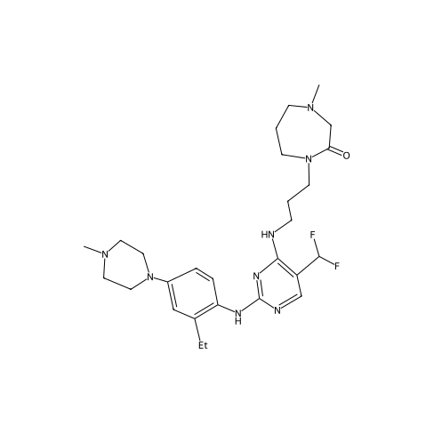 CCc1cc(N2CCN(C)CC2)ccc1Nc1ncc(C(F)F)c(NCCCN2CCCN(C)CC2=O)n1